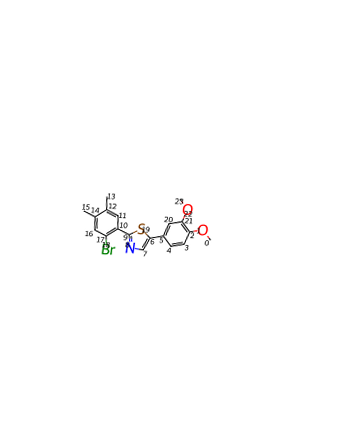 COc1ccc(-c2cnc(-c3cc(C)c(C)cc3Br)s2)cc1OC